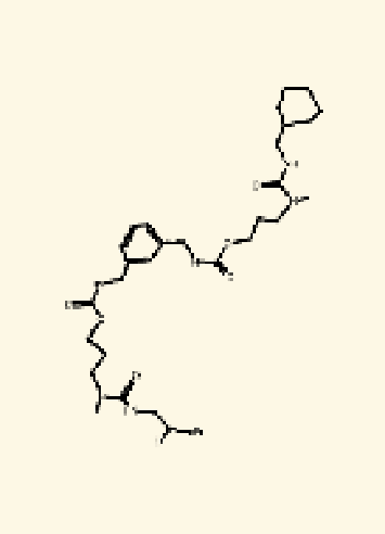 CCCC(CC)CNC(=O)N(C)CCCOC(=O)NCc1cccc(CNC(=O)OCCCN(C)C(=O)NCC2CCCCC2)c1